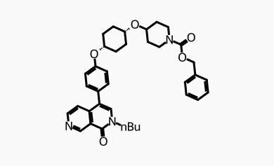 CCCCn1cc(-c2ccc(O[C@H]3CC[C@@H](OC4CCN(C(=O)OCc5ccccc5)CC4)CC3)cc2)c2ccncc2c1=O